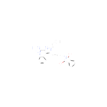 CCCn1nc2c(N)nc3ccccc3c2c1CCCCN1C(=O)c2ccccc2C1=O